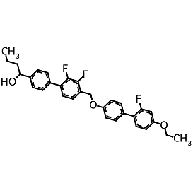 CCCC(O)c1ccc(-c2ccc(COc3ccc(-c4ccc(OCC)cc4F)cc3)c(F)c2F)cc1